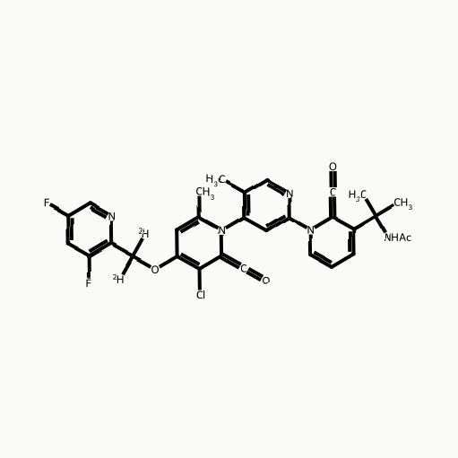 [2H]C([2H])(OC1=C(Cl)C(=C=O)N(c2cc(N3C=CC=C(C(C)(C)NC(C)=O)C3=C=O)ncc2C)C(C)=C1)c1ncc(F)cc1F